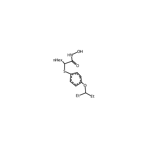 CCCCCCC(Sc1ccc(OC(CC)CC)cc1)C(=O)NO